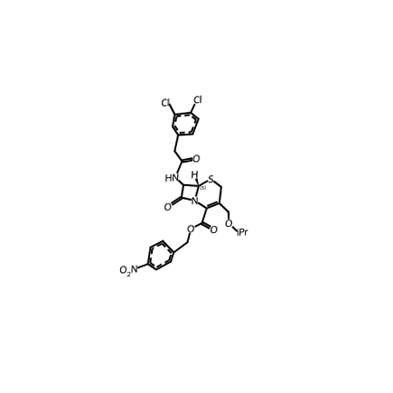 CC(C)OCC1=C(C(=O)OCc2ccc([N+](=O)[O-])cc2)N2C(=O)C(NC(=O)Cc3ccc(Cl)c(Cl)c3)[C@@H]2SC1